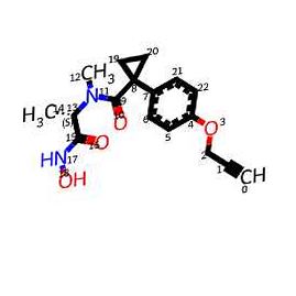 C#CCOc1ccc(C2(C(=O)N(C)[C@@H](C)C(=O)NO)CC2)cc1